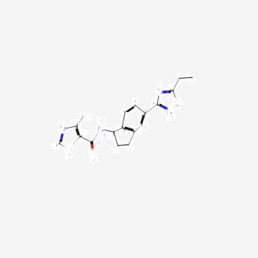 CCc1nc(-c2ccc3c(c2)CCC3NC(=O)c2ocnc2C)no1